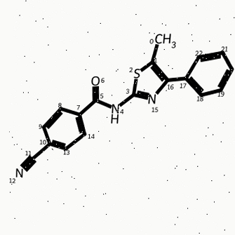 Cc1sc(NC(=O)c2ccc(C#N)cc2)nc1-c1ccccc1